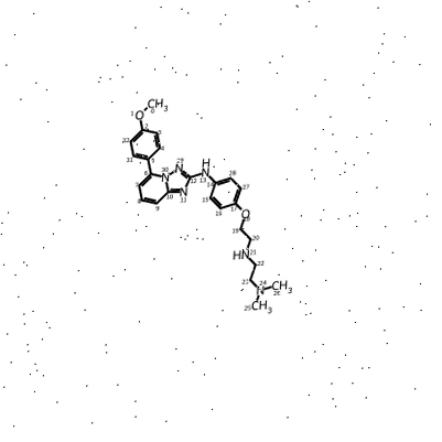 COc1ccc(-c2cccc3nc(Nc4ccc(OCCNCCN(C)C)cc4)nn23)cc1